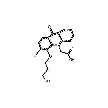 O=C(O)Cn1c2ccccc2c(=O)c2ccc(Cl)c(OCCCO)c21